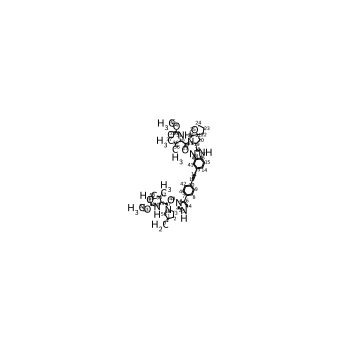 C=C1C[C@@H](c2nc(-c3ccc(C#Cc4ccc5[nH]c([C@@H]6C[C@@]7(CCCO7)CN6C(=O)[C@@H](NC(=O)OC)C(C)C)nc5c4)cc3)c[nH]2)N(C(=O)[C@@H](NC(=O)OC)C(C)C)C1